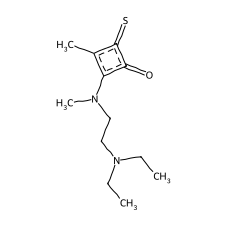 CCN(CC)CCN(C)c1c(C)c(=S)c1=O